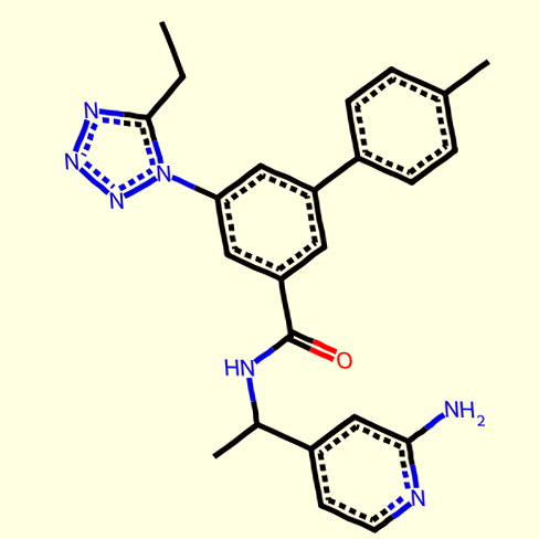 CCc1nnnn1-c1cc(C(=O)NC(C)c2ccnc(N)c2)cc(-c2ccc(C)cc2)c1